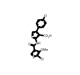 COc1c(C(=O)Nc2scc(-c3ccc(Cl)cc3)c2C(=O)O)csc1Cl